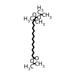 CC(C)OC(=O)CCCCCCCCCCCCCC(C)(C)C(=O)OC(C)C